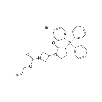 C=CCOC(=O)N1CC(N2CCC([P+](c3ccccc3)(c3ccccc3)c3ccccc3)C2=O)C1.[Br-]